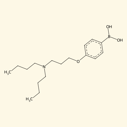 CCCCN(CCCC)CCCOc1ccc(B(O)O)cc1